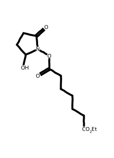 CCOC(=O)CCCCCC(=O)ON1C(=O)CCC1O